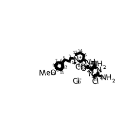 CCOC(=O)C[N+]1(CCCc2ccc(OC)cc2)CCCC(NC(=O)c2nc(Cl)c(N)nc2N)C1.[Cl-]